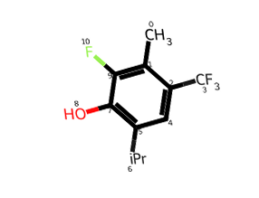 Cc1c(C(F)(F)F)cc(C(C)C)c(O)c1F